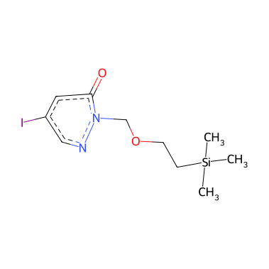 C[Si](C)(C)CCOCn1ncc(I)cc1=O